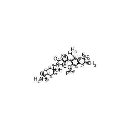 CCn1nc(C(=O)NCC2(O)CCC(S(N)(=O)=O)CC2)c(Cl)c1-c1ccc(C[C@H](C)C(F)(F)F)cc1OC(F)F